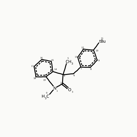 CN1C(=O)C(C)(Cc2ccc(C(C)(C)C)cc2)c2ccccc21